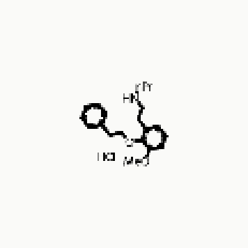 CCCNCCc1cccc(OC)c1OCCc1ccccc1.Cl